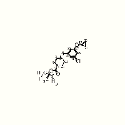 CC(C)(C)OC(=O)N1CCN(Cc2cc(Cl)cc(OC3CC3)c2)CC1